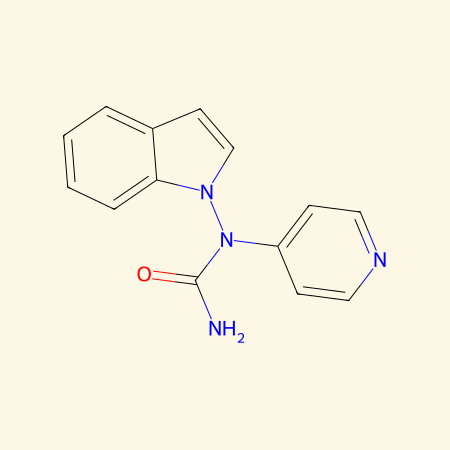 NC(=O)N(c1ccncc1)n1ccc2ccccc21